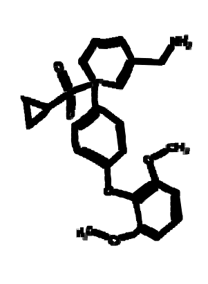 COc1cccc(OC)c1Oc1ccc([N+]2(S(=O)(=O)C3CC3)C=C(CN)C=CC2)cc1